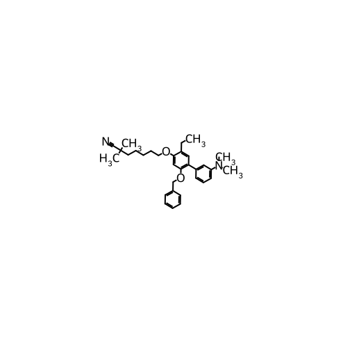 CCc1cc(-c2cccc(N(C)C)c2)c(OCc2ccccc2)cc1OCCCCCC(C)(C)C#N